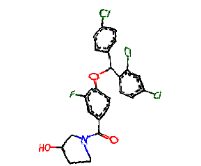 O=C(c1ccc(OC(c2ccc(Cl)cc2)c2ccc(Cl)cc2Cl)c(F)c1)N1CCC(O)C1